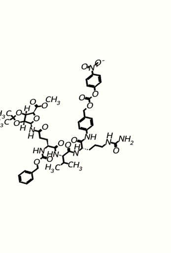 COC(=O)[C@H]1O[C@@H](NC(=O)CC[C@H](NC(=O)OCc2ccccc2)C(=O)N[C@H](C(=O)N[C@@H](CCCNC(N)=O)C(=O)Nc2ccc(COC(=O)Oc3ccc([N+](=O)[O-])cc3)cc2)C(C)C)[C@@H]2OC(C)(C)O[C@@H]21